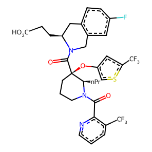 CCC[C@H]1N(C(=O)c2ncccc2C(F)(F)F)CCC[C@]1(Oc1csc(C(F)(F)F)c1)C(=O)N1Cc2cc(F)ccc2C[C@@H]1CCC(=O)O